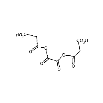 O=C(O)CC(=O)OC(=O)C(=O)OC(=O)CC(=O)O